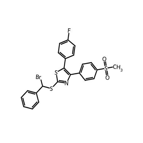 CS(=O)(=O)c1ccc(-c2nc(SC(Br)c3ccccc3)sc2-c2ccc(F)cc2)cc1